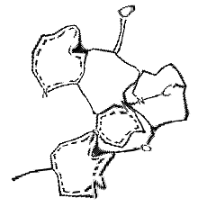 Cc1ccc(OC2CC3CCC2N(C(=O)c2cccnc2-c2ncco2)C3)nc1